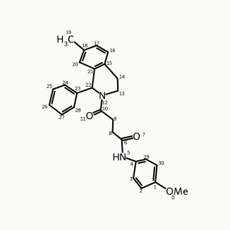 COc1ccc(NC(=O)CCC(=O)N2CCc3ccc(C)cc3C2c2ccccc2)cc1